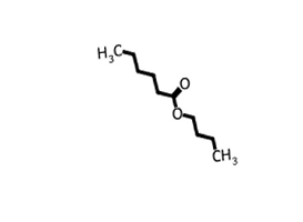 CCCCCC(=O)OCCCC